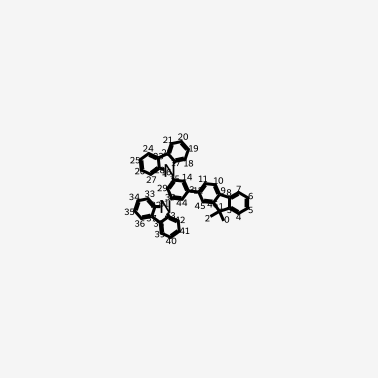 CC1(C)c2ccccc2-c2ccc(-c3cc(-n4c5ccccc5c5ccccc54)cc(-n4c5ccccc5c5ccccc54)c3)cc21